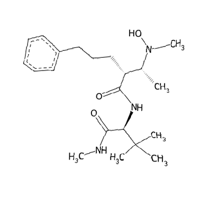 CNC(=O)[C@@H](NC(=O)[C@H](CCCc1ccccc1)[C@@H](C)N(C)O)C(C)(C)C